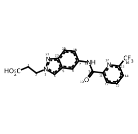 O=C(O)CCn1cc2cc(NC(=O)c3cccc(C(F)(F)F)n3)ccc2n1